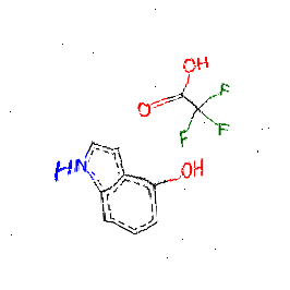 O=C(O)C(F)(F)F.Oc1cccc2[nH]ccc12